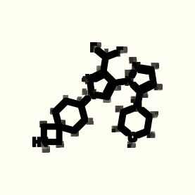 FC(F)c1nn(C2CCC3(CC2)CNC3)cc1-n1nccc1N1CCOCC1